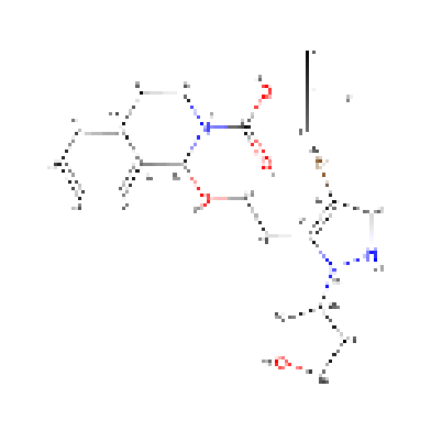 CC(C)(C)OC(=O)N1CCc2ccccc2C1OCCc1c(Br)cnn1C1CCOC1